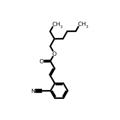 CCCCC(CC)COC(=O)C=Cc1ccccc1C#N